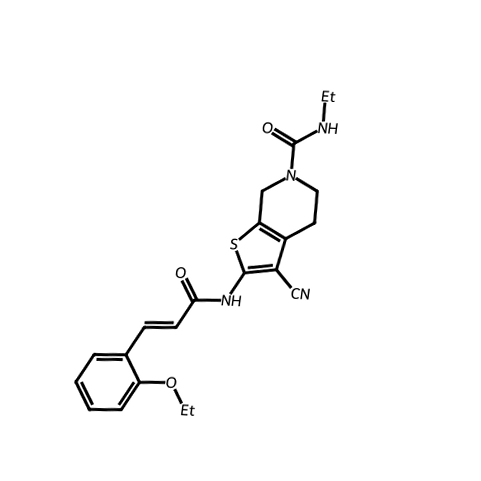 CCNC(=O)N1CCc2c(sc(NC(=O)/C=C/c3ccccc3OCC)c2C#N)C1